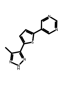 Cc1n[nH]nc1-c1ccc(-c2cncnc2)s1